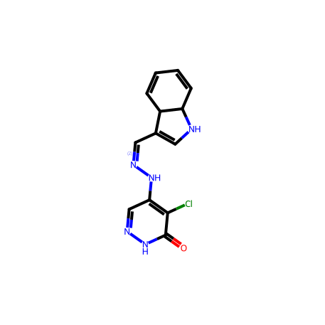 O=c1[nH]ncc(N/N=C\C2=CNC3C=CC=CC23)c1Cl